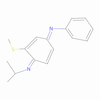 CSC1=CC(=N/c2ccccc2)/C=CC/1=N/C(C)C